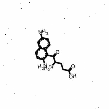 Nc1ccc2c(C(=O)C(N)CCC(=O)O)c(N)ccc2c1